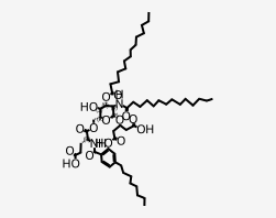 CCCCCCCCCCCCCC(=O)N[C@H]1[C@H](OC(CC(=O)O)CC(=O)O)O[C@H](COC(=O)[C@@H](CCC(=O)O)NC(=O)c2ccc(CCCCCCCC)cc2)[C@@H](O)[C@@H]1OC(=O)CCCCCCCCCCCCC